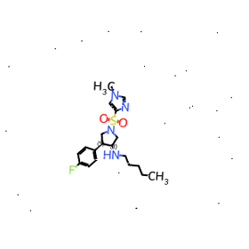 CCCCCN[C@H]1CN(S(=O)(=O)c2cn(C)cn2)C[C@@H]1c1ccc(F)cc1